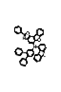 c1ccc(-c2nc3cc(N(c4ccc(-c5ccccc5)c(-c5ccccc5)c4)c4cccc5oc6ccccc6c45)c4oc5ccccc5c4c3o2)cc1